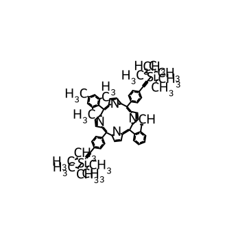 C#Cc1ccccc1C1=C2C=CC(=N2)C(c2ccc(C#C[Si](C(C)C)(C(C)C)C(C)C)cc2)=C2C=CC(=N2)C(c2c(C)cc(C)cc2C)=C2C=CC(=N2)C(c2ccc(C#C[Si](C(C)C)(C(C)C)C(C)C)cc2)=C2C=CC1=N2